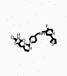 O=C1NC(=O)/C(=C\c2ccnc(N3CCC(CNCc4cc(-c5ccsc5)ncc4F)CC3)n2)S1